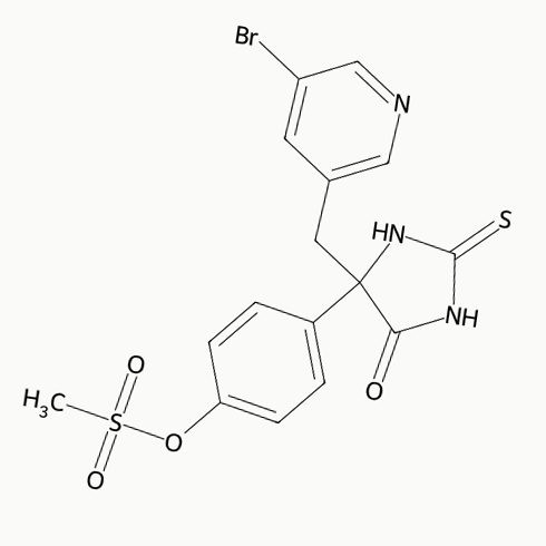 CS(=O)(=O)Oc1ccc(C2(Cc3cncc(Br)c3)NC(=S)NC2=O)cc1